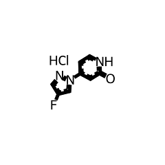 Cl.O=c1cc(-n2cc(F)cn2)cc[nH]1